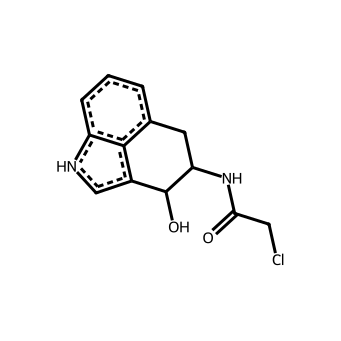 O=C(CCl)NC1Cc2cccc3[nH]cc(c23)C1O